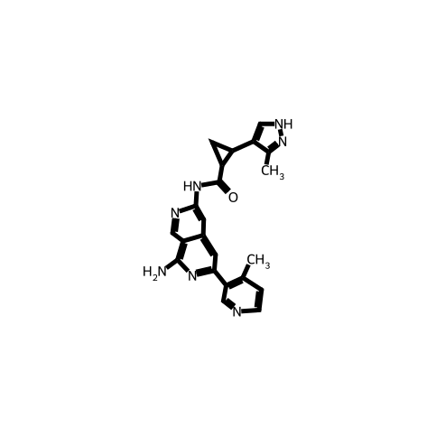 Cc1ccncc1-c1cc2cc(NC(=O)C3CC3c3c[nH]nc3C)ncc2c(N)n1